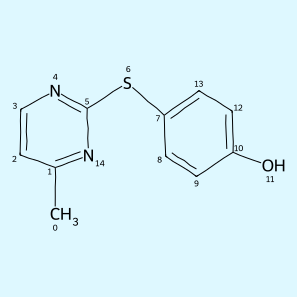 Cc1ccnc(Sc2ccc(O)cc2)n1